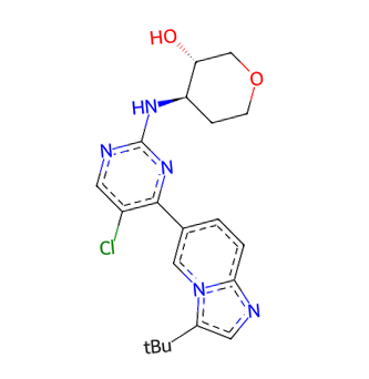 CC(C)(C)c1cnc2ccc(-c3nc(N[C@@H]4CCOC[C@H]4O)ncc3Cl)cn12